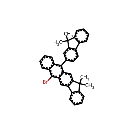 CC1(C)c2ccccc2-c2ccc(-c3c4ccccc4c(Br)c4cc5c(cc34)C(C)(C)c3ccccc3-5)cc21